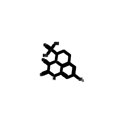 O=c1[nH]c2cc(C(F)(F)F)cc3c2n(c1=O)C(P(=O)(O)O)CC3